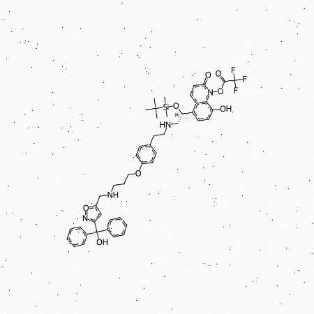 CC(C)(C)[Si](C)(C)O[C@@H](CNCCc1ccc(OCCCNCc2cc(C(O)(c3ccccc3)c3ccccc3)no2)cc1)c1ccc(O)c2c1ccc(=O)n2OC(=O)C(F)(F)F